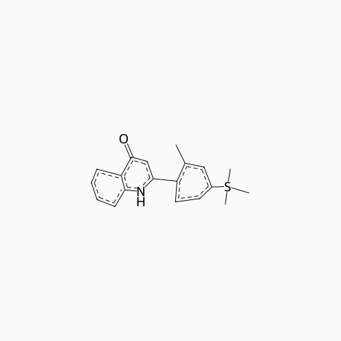 Cc1cc(S(C)(C)C)ccc1-c1cc(=O)c2ccccc2[nH]1